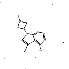 CN1CC(n2cc(I)c3c(N)ncnc32)C1